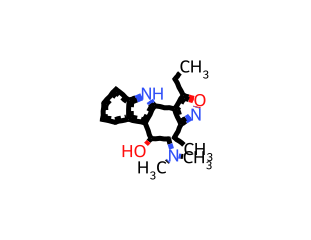 CCc1noc(CC)c1-c1[nH]c2ccccc2c1C(O)CN(C)C